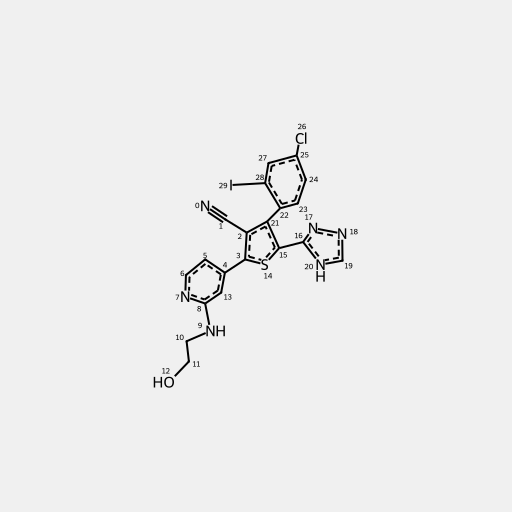 N#Cc1c(-c2ccnc(NCCO)c2)sc(-c2nnc[nH]2)c1-c1ccc(Cl)cc1I